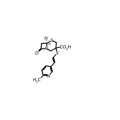 Cc1ccc(C=CSC2(C(=O)O)CS[C@@H]3CC(=O)N3C2)cn1